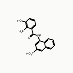 Cc1c(O)cccc1C(=O)Nc1cc(C(=O)O)cc2ccccc12